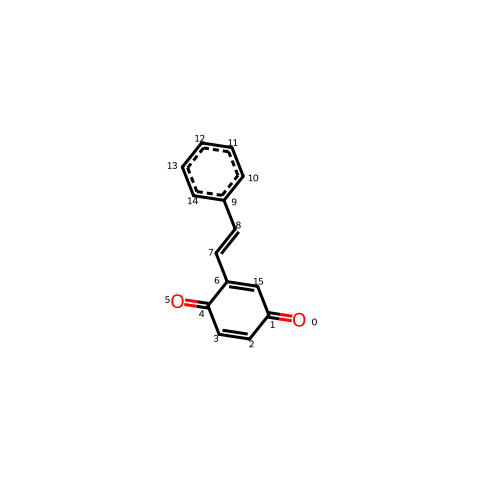 O=C1C=CC(=O)C(C=Cc2ccccc2)=C1